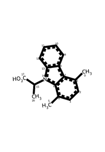 Cc1ccc(C)c2c1c1ccccc1n2C(C)C(=O)O